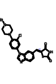 CCN1CCN(c2ccc(-n3cnc4ccc(/C=C5\SC(=O)NC5=O)cc43)cc2Cl)CC1